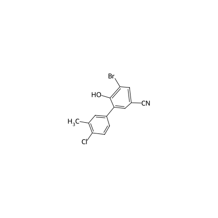 Cc1cc(-c2cc(C#N)cc(Br)c2O)ccc1Cl